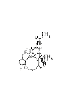 C=CC(=O)N1CCN(c2nc(=O)n3c4nc(c(F)cc24)-c2c(F)ccc(F)c2OCCCc2ccnc(C(C)C)c2-3)[C@@H](C)C1